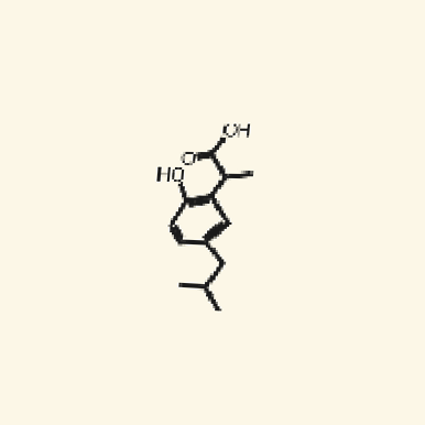 CC(C)Cc1ccc(O)c(C(C)C(=O)O)c1